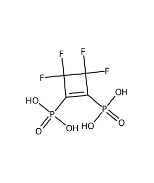 O=P(O)(O)C1=C(P(=O)(O)O)C(F)(F)C1(F)F